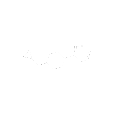 c1ccc(N2CCN(CC3CO3)CC2)nc1